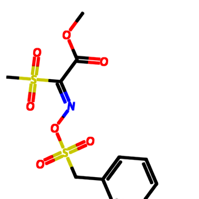 COC(=O)/C(=N/OS(=O)(=O)Cc1ccccc1)S(C)(=O)=O